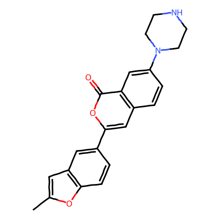 Cc1cc2cc(-c3cc4ccc(N5CCNCC5)cc4c(=O)o3)ccc2o1